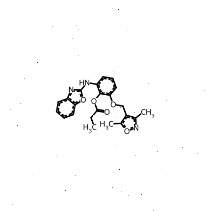 CCC(=O)Oc1c(Nc2nc3ccccc3o2)cccc1OCc1c(C)noc1C